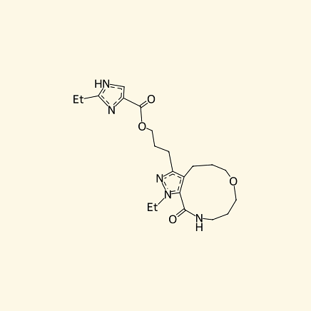 CCc1nc(C(=O)OCCCc2nn(CC)c3c2CCCOCCCNC3=O)c[nH]1